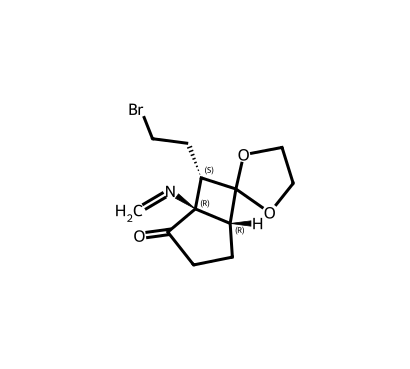 C=N[C@]12C(=O)CC[C@H]1C1(OCCO1)[C@H]2CCBr